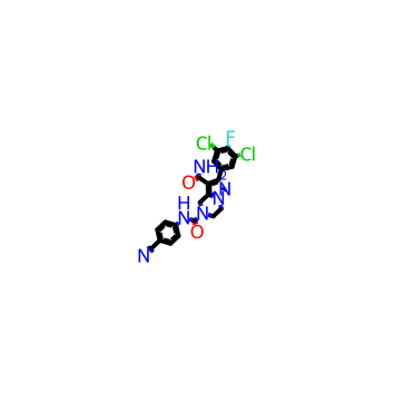 N#Cc1ccc(NC(=O)N2CCn3nc(-c4cc(Cl)c(F)c(Cl)c4)c(C(N)=O)c3C2)cc1